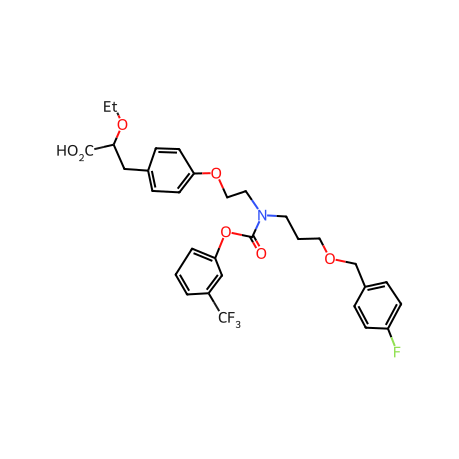 CCOC(Cc1ccc(OCCN(CCCOCc2ccc(F)cc2)C(=O)Oc2cccc(C(F)(F)F)c2)cc1)C(=O)O